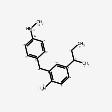 CCC(C)c1ccc(N)c(Cc2ccc(NC)cc2)c1